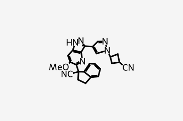 COc1cc2[nH]nc(-c3cnn(C4CC(C#N)C4)c3)c2nc1C1(C#N)CCc2ccccc21